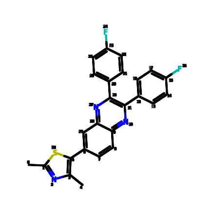 Cc1nc(C)c(-c2ccc3nc(-c4ccc(F)cc4)c(-c4ccc(F)cc4)nc3c2)s1